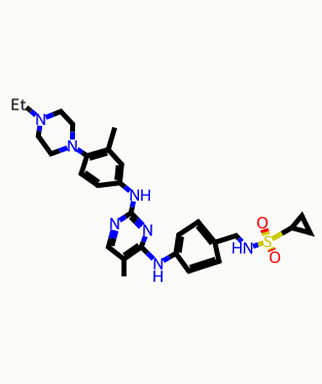 CCN1CCN(c2ccc(Nc3ncc(C)c(Nc4ccc(CNS(=O)(=O)C5CC5)cc4)n3)cc2C)CC1